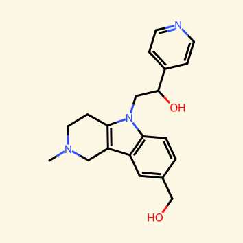 CN1CCc2c(c3cc(CO)ccc3n2CC(O)c2ccncc2)C1